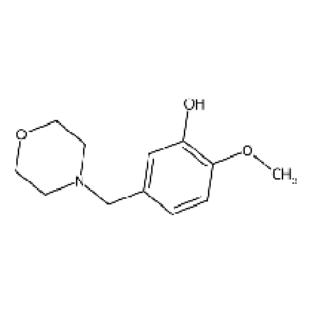 COc1ccc(CN2CCOCC2)cc1O